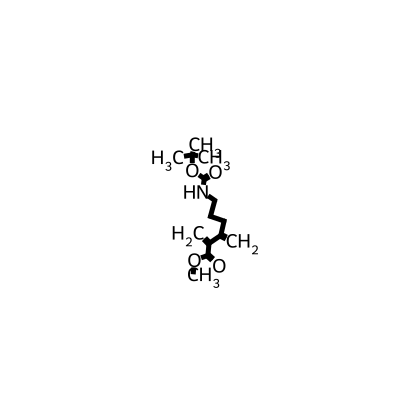 C=C(CCCNC(=O)OC(C)(C)C)C(=C)C(=O)OC